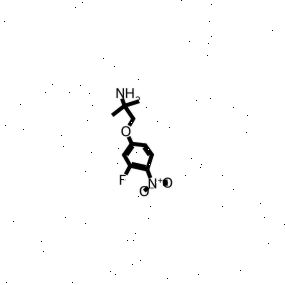 CC(C)(N)COc1ccc([N+](=O)[O-])c(F)c1